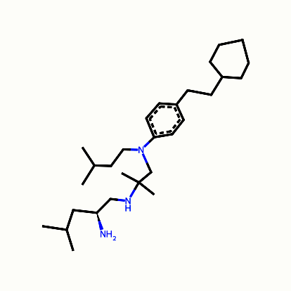 CC(C)CCN(CC(C)(C)NC[C@@H](N)CC(C)C)c1ccc(CCC2CCCCC2)cc1